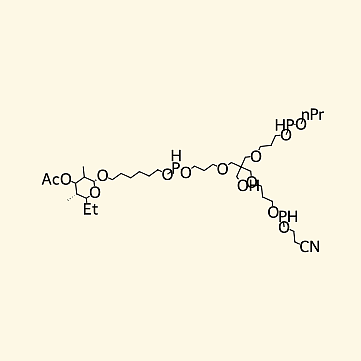 CCCOPOCCCOCC(CO)(COCCCOPOCCC#N)COCCCOPOCCCCCCO[C@@H]1OC(CC)[C@H](C)C(OC(C)=O)C1C